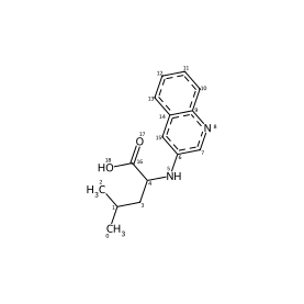 CC(C)CC(Nc1cnc2ccccc2c1)C(=O)O